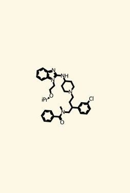 CC(C)OCCn1c(NC2CCN(CCC(CN(C)C(=O)c3ccccc3)c3cccc(Cl)c3)CC2)nc2ccccc21